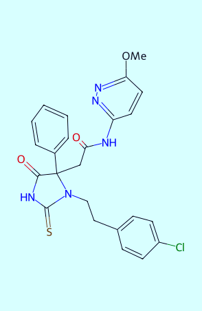 COc1ccc(NC(=O)CC2(c3ccccc3)C(=O)NC(=S)N2CCc2ccc(Cl)cc2)nn1